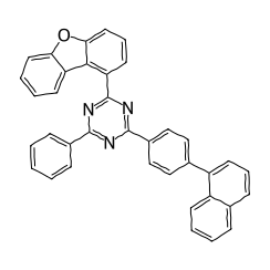 c1ccc(-c2nc(-c3ccc(-c4cccc5ccccc45)cc3)nc(-c3cccc4oc5ccccc5c34)n2)cc1